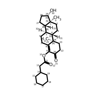 C[C@]12CC[C@H]3[C@@H](CCC4=C(OC(=O)CC5CCCCC5)C(=O)CC[C@@]43C)[C@@H]1CC[C@@H]2O